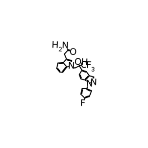 NC(=O)Cc1cn(CC(O)(c2ccc3c(cnn3-c3ccc(F)cc3)c2)C(F)(F)F)c2ccccc12